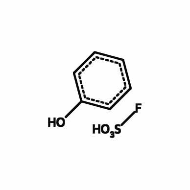 O=S(=O)(O)F.Oc1ccccc1